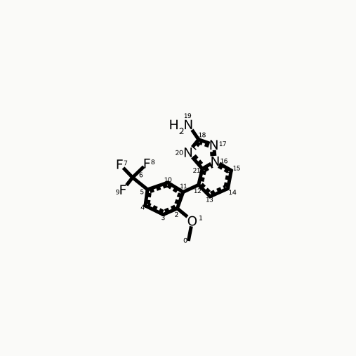 COc1ccc(C(F)(F)F)cc1-c1cccn2nc(N)nc12